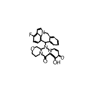 O=C1c2c(O)c(=O)ccn2N(C2c3ccccc3Cn3ccc4c(F)ccc2c43)C2COCCN12